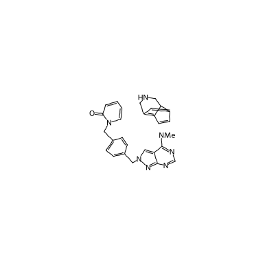 C1=CC2=C3C=C1C2CNC3.CNc1ncnc2nn(Cc3ccc(Cn4ccccc4=O)cc3)cc12